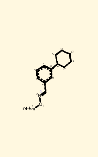 CCCCCCO/N=[C]/c1cccc(C2CCCCC2)c1